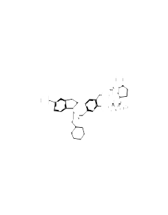 COc1cc(CN(CC2CCCCC2)[C@H]2CCc3cc(Cl)ccc32)ccc1COCN1C(=O)CCC1=O